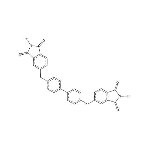 CCN1C(=O)c2ccc(Cc3ccc(-c4ccc(Cc5ccc6c(c5)C(=O)N(CC)C6=O)cc4)cc3)cc2C1=O